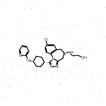 OCCN[C@@H]1Cc2cc(Cl)ccc2-n2c(nnc2[C@H]2CC[C@H](Oc3ccccn3)CC2)C1